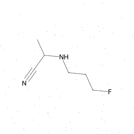 CC(C#N)NCCCF